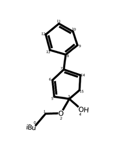 CCC(C)COC1(O)C=CC(c2ccccc2)=CC1